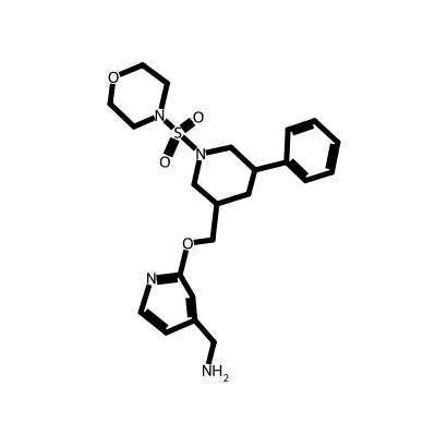 NCc1ccnc(OCC2CC(c3ccccc3)CN(S(=O)(=O)N3CCOCC3)C2)c1